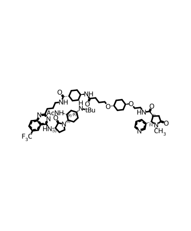 CC(=O)N[C@@H]1C[C@H](NC(C)(C)C)CC[C@@H]1N1CC[C@H](Nc2nc(CCCNC(=O)[C@H]3CC[C@H](NC(=O)CCCO[C@H]4CC[C@H](OCCNC(=O)[C@H]5CC(=O)N(C)[C@@H]5c5cccnc5)CC4)CC3)nc3ccc(C(F)(F)F)cc23)C1=O